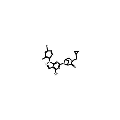 O=C1C2CC(CN1CC1CC1)N2c1nc(O)c2cnn(-c3ccc(F)cc3F)c2n1